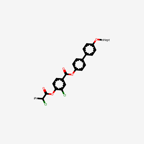 CCCCCCCOc1ccc(-c2ccc(OC(=O)c3ccc(OC(=O)C(Cl)C(C)C)c(Cl)c3)cc2)cc1